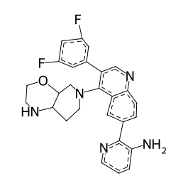 Nc1cccnc1-c1ccc2ncc(-c3cc(F)cc(F)c3)c(N3CCC4NCCOC4C3)c2c1